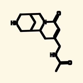 CC(=O)NCC1=CC(=O)N2CC3CNCC(C3)C2C1